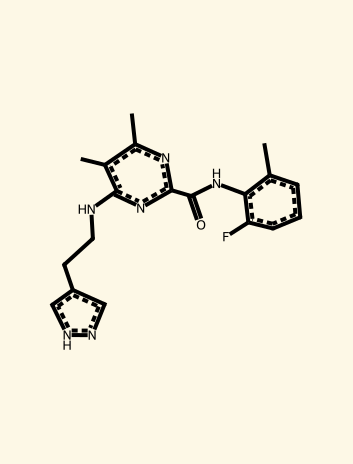 Cc1cccc(F)c1NC(=O)c1nc(C)c(C)c(NCCc2cn[nH]c2)n1